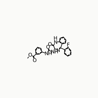 COC(=O)c1cccc(NC(=O)NC2N=C(c3ccccc3F)c3ccccc3NC2=O)c1